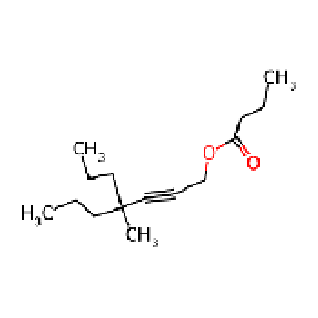 CCCC(=O)OCC#CC(C)(CCC)CCC